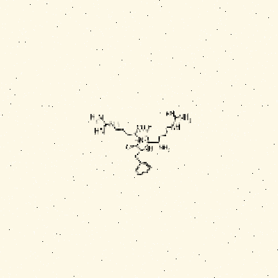 N=C(N)NCCC[C@H](NC(=O)[C@H](Cc1ccccc1)NC(=O)[C@@H](N)CCCNC(=N)N)C(=O)O